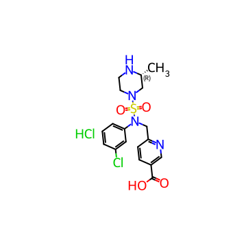 C[C@@H]1CN(S(=O)(=O)N(Cc2ccc(C(=O)O)cn2)c2cccc(Cl)c2)CCN1.Cl